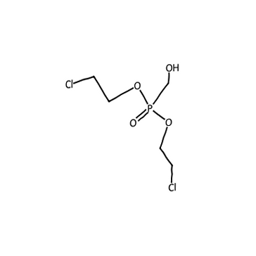 O=P(CO)(OCCCl)OCCCl